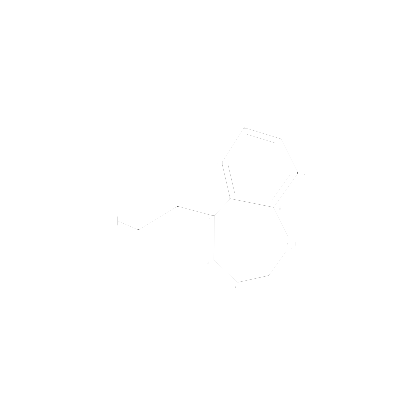 ICCC1CCCOc2ccccc21